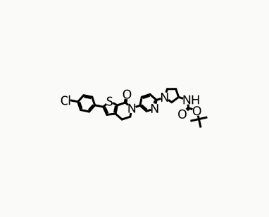 CC(C)(C)OC(=O)NC1CCN(c2ccc(N3CCc4cc(-c5ccc(Cl)cc5)sc4C3=O)cn2)C1